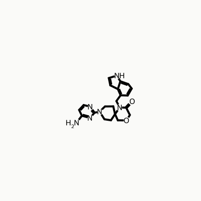 Nc1ccnc(N2CCC3(CC2)COCC(=O)N3Cc2cccc3[nH]ccc23)n1